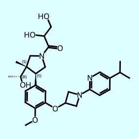 COc1ccc([C@@H]2CN(C(=O)C(O)CO)C[C@@]2(C)[C@@H](C)O)cc1OC1CN(c2ccc(C(C)C)cn2)C1